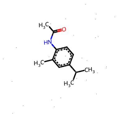 CC(=O)Nc1ccc(C(C)C)cc1C